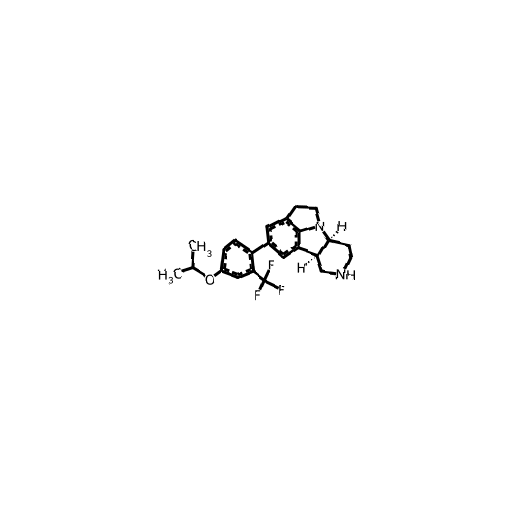 CC(C)Oc1ccc(-c2cc3c4c(c2)[C@@H]2CNCC[C@@H]2N4CC3)c(C(F)(F)F)c1